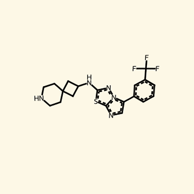 FC(F)(F)c1cccc(-c2cnc3sc(NC4CC5(CCNCC5)C4)nn23)c1